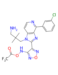 CC(C)(CN)Cn1c(-c2nonc2NOC(=O)C(F)(F)F)nc2c(-c3cccc(Cl)c3)nccc21